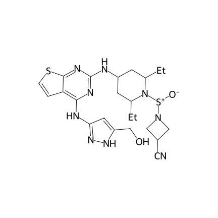 CCC1CC(Nc2nc(Nc3cc(CO)[nH]n3)c3ccsc3n2)CC(CC)N1[S+]([O-])N1CC(C#N)C1